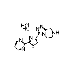 Cl.Cl.c1cnc(-c2nc(-c3nnc4n3CCNC4)cs2)nc1